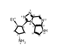 CC[C@@H]1C[C@@H](N)C[C@@H]1c1nnc2cnc3[nH]ccc3n12